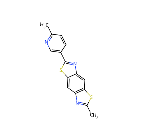 Cc1ccc(-c2nc3cc4sc(C)nc4cc3s2)cn1